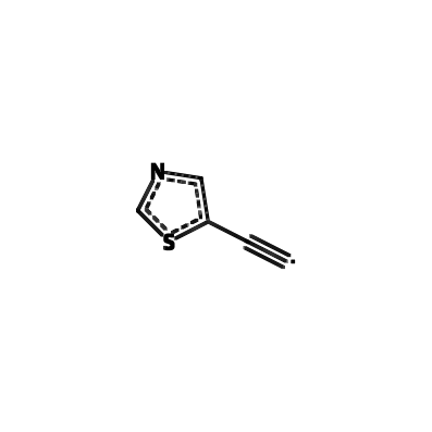 [C]#Cc1cncs1